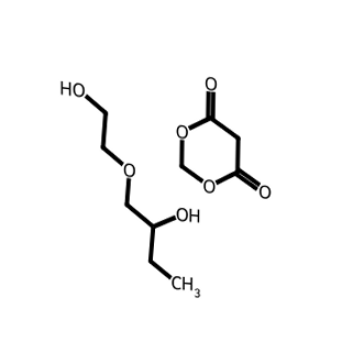 CCC(O)COCCO.O=C1CC(=O)OCO1